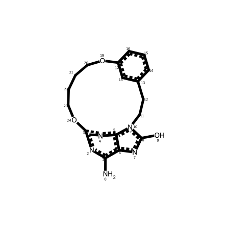 Nc1nc2nc3c1nc(O)n3CCc1cccc(c1)OCCCCO2